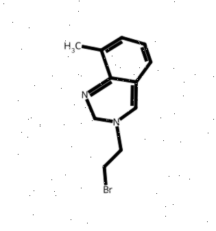 Cc1cccc2c1=NCN(CCBr)C=2